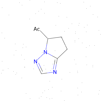 CC(=O)C1CCc2ncnn21